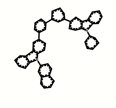 c1ccc(-n2c3ccccc3c3cc(-c4cccc(-c5cccc(-c6ccc7c(c6)c6ccccc6n7-c6ccc7ccccc7c6)c5)c4)ccc32)cc1